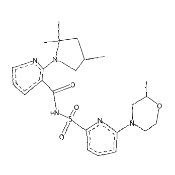 CC1CN(c2ncccc2C(=O)NS(=O)(=O)c2cccc(N3CCOC(C)C3)n2)C(C)(C)C1